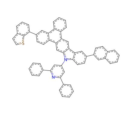 c1ccc(-c2cc(-n3c4ccc(-c5ccc6ccccc6c5)cc4c4cc5c6ccccc6c6cc(-c7cccc8ccsc78)ccc6c5cc43)cc(-c3ccccc3)n2)cc1